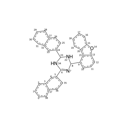 c1ccc2cc(C3=NC(c4cccc5oc6ccccc6c45)NC(c4ccc5ccccc5c4)N3)ccc2c1